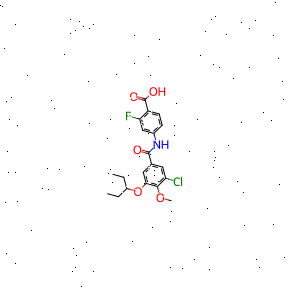 CCC(CC)Oc1cc(C(=O)Nc2ccc(C(=O)O)c(F)c2)cc(Cl)c1OC